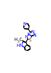 Cc1[nH]c2ccccc2c1-c1nn2c(-c3ccncc3)nnc2s1